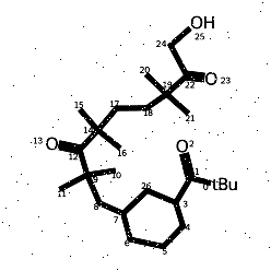 CC(C)(C)C(=O)C1CCCC(CC(C)(C)C(=O)C(C)(C)CCC(C)(C)C(=O)CO)C1